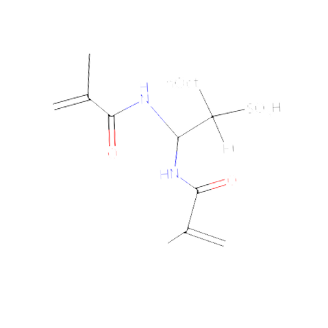 C=C(C)C(=O)NC(NC(=O)C(=C)C)C(CC)(CCCCCCCC)S(=O)(=O)O